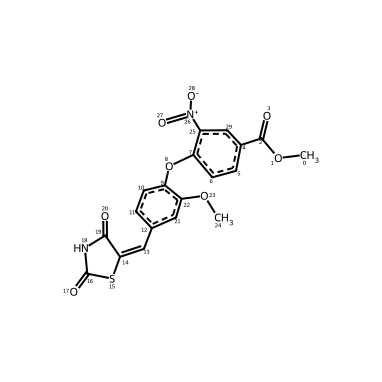 COC(=O)c1ccc(Oc2ccc(/C=C3/SC(=O)NC3=O)cc2OC)c([N+](=O)[O-])c1